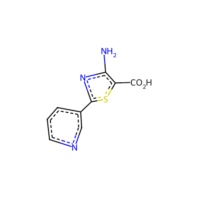 Nc1nc(-c2cccnc2)sc1C(=O)O